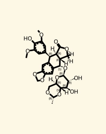 [2H]C1([2H])OC(=O)[C@@H]2[C@H](c3cc(OC)c(O)c(OC)c3)c3cc4c(cc3[C@@H](O[C@@H]3O[C@@H]5CO[C@@H](C)O[C@H]5[C@H](O)[C@H]3O)[C@H]21)OCO4